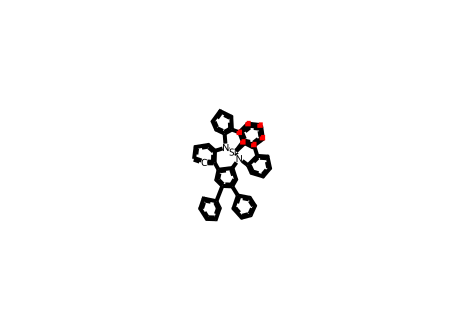 c1ccc(-c2cc3c(cc2-c2ccccc2)N2c4ccccc4-c4ccccc4[Si]24c2ccccc2-c2ccccc2N4c2ccccc2-3)cc1